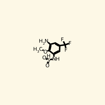 COc1c(N)cc(C(F)(F)F)cc1N[SH](=O)=O